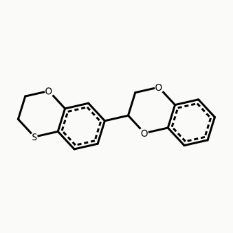 c1ccc2c(c1)OCC(c1ccc3c(c1)OCCS3)O2